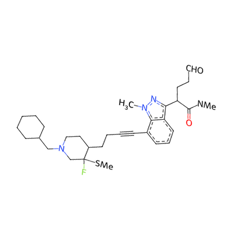 CNC(=O)C(CCC=O)c1nn(C)c2c(C#CCCC3CCN(CC4CCCCC4)CC3(F)SC)cccc12